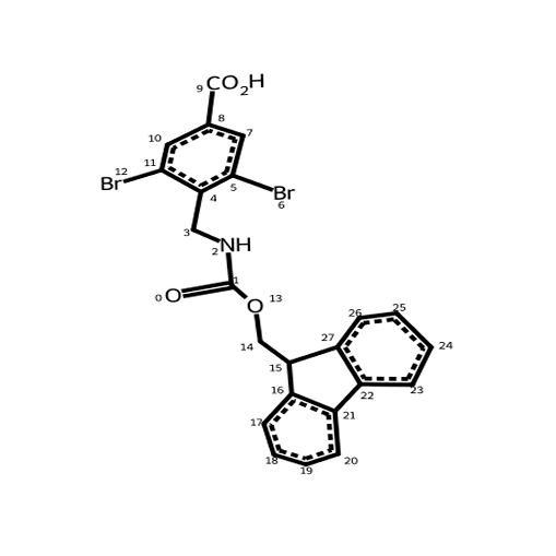 O=C(NCc1c(Br)cc(C(=O)O)cc1Br)OCC1c2ccccc2-c2ccccc21